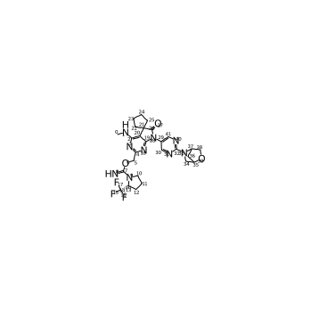 CNc1nc(COC(=N)N2CCC[C@@H]2C(F)(F)F)nc2c1C1(CCCC1)C(=O)N2c1cnc(N2CC3CC2CO3)nc1